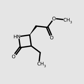 CCC1C(=O)N[C@H]1CC(=O)OC